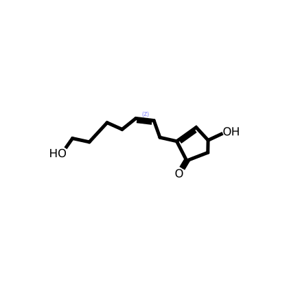 O=C1CC(O)C=C1C/C=C\CCCCO